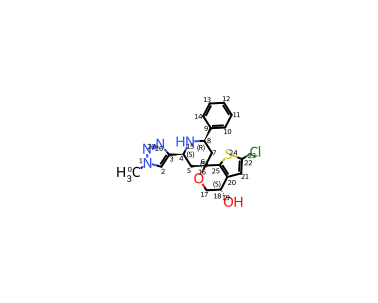 Cn1cc([C@@H]2C[C@]3(C[C@H](c4ccccc4)N2)OC[C@@H](O)c2cc(Cl)sc23)nn1